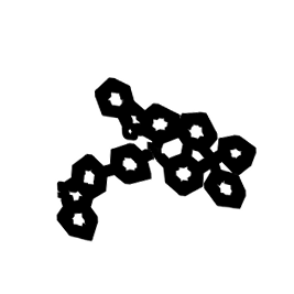 c1ccc(C2(c3ccccc3)c3ccccc3-c3c(N(c4ccc(-c5ccc6sc7ccccc7c6c5)cc4)c4cccc5c4oc4ccccc45)cccc32)cc1